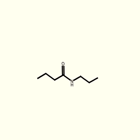 CC[CH]NC(=O)CCC